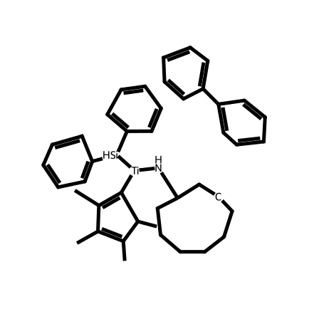 CC1=C(C)C(C)[C]([Ti]([NH]C2CCCCCCCC2)[SiH](c2ccccc2)c2ccccc2)=C1C.c1ccc(-c2ccccc2)cc1